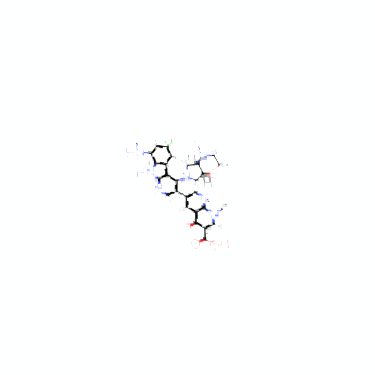 CNc1cc(F)cc2c1[nH]c1ncc(-c3cnc4c(c3)c(=O)c(C(=O)O)cn4C)c(N3C[C@@H]4OCCN(C)[C@@H]4C3)c12